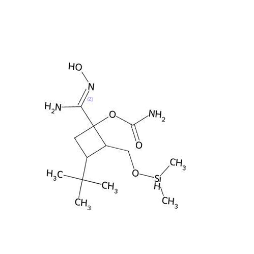 C[SiH](C)OCC1C(C(C)(C)C)CC1(OC(N)=O)/C(N)=N/O